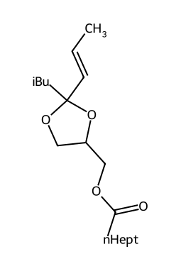 C/C=C/C1(C(C)CC)OCC(COC(=O)CCCCCCC)O1